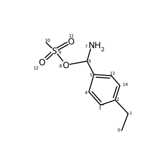 CCc1[c]cc(C(N)OS(C)(=O)=O)cc1